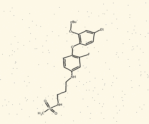 CCCCOc1cc(CC)ccc1Oc1ccc(NCCCNS(C)(=O)=O)cc1F